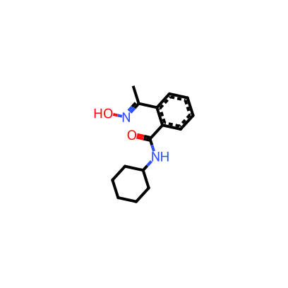 CC(=NO)c1ccccc1C(=O)NC1CCCCC1